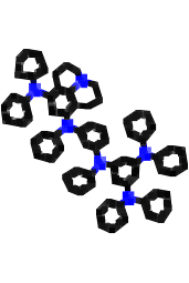 c1ccc(N(c2ccccc2)c2cc(N(c3ccccc3)c3ccccc3)cc(N(c3ccccc3)c3cccc(N(c4ccccc4)c4cc(N(c5ccccc5)c5ccccc5)c5c6c4CCCN6CCC5)c3)c2)cc1